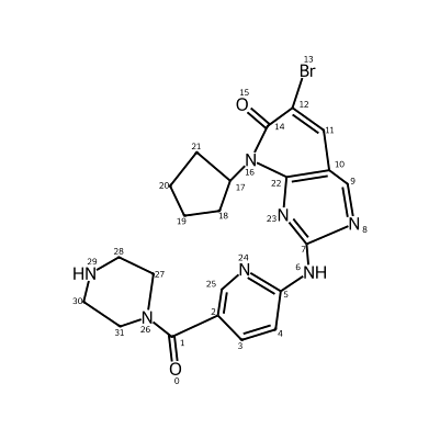 O=C(c1ccc(Nc2ncc3cc(Br)c(=O)n(C4CCCC4)c3n2)nc1)N1CCNCC1